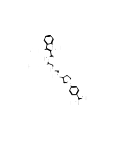 CCOC(=O)C(CNC(=O)NC1CCN(c2ccc(C(=N)N)cc2)C1=O)NC(=O)c1[nH]c2ccccc2c1C=O